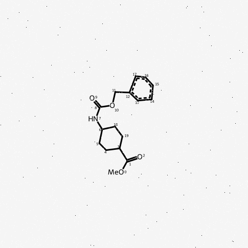 COC(=O)C1CCC(NC(=O)OCc2ccccc2)CC1